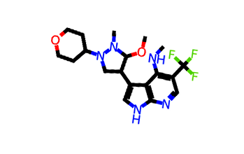 CNc1c(C(F)(F)F)cnc2[nH]cc(C3CN(C4CCOCC4)N(C)C3OC)c12